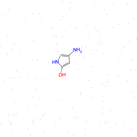 Nc1c[nH]c(O)c1